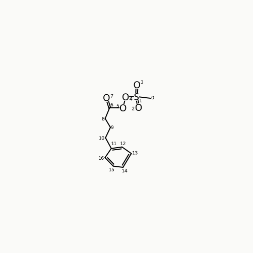 CS(=O)(=O)OOC(=O)CCCc1ccccc1